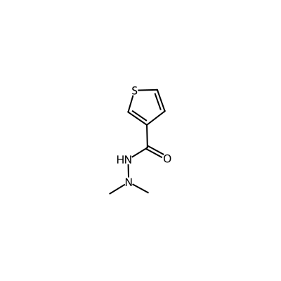 CN(C)NC(=O)c1ccsc1